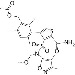 COCN(c1onc(C)c1C)S(=O)(=O)c1c(-c2c(C)cc(C)c(COC(C)=O)c2C)csc1C(N)=O